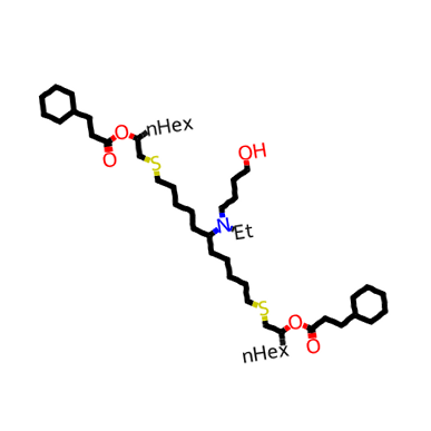 CCCCCCC(CSCCCCCC(CCCCCSCC(CCCCCC)OC(=O)CCC1CCCCC1)N(CC)CCCCO)OC(=O)CCC1CCCCC1